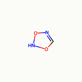 C1=NONO1